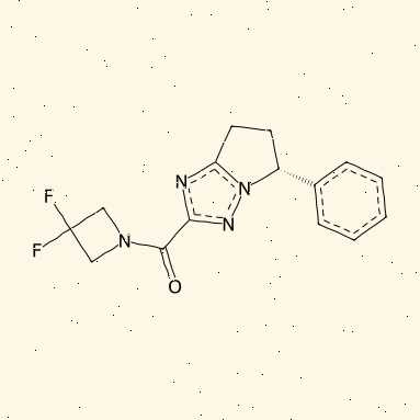 O=C(c1nc2n(n1)[C@@H](c1ccccc1)CC2)N1CC(F)(F)C1